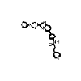 O=C(CCc1ccncc1)Nc1ccc(-c2ccc3ncc(N4CCN(c5ccncc5)CC4)nc3c2)cc1